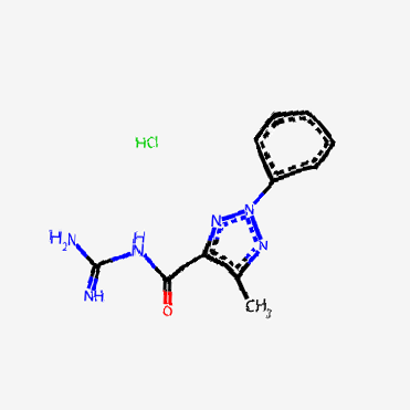 Cc1nn(-c2ccccc2)nc1C(=O)NC(=N)N.Cl